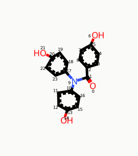 O=C(c1ccc(O)cc1)N(c1ccc(O)cc1)c1ccc(O)cc1